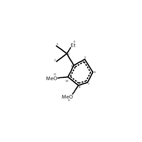 CCC(C)(C)c1cccc(OC)c1OC